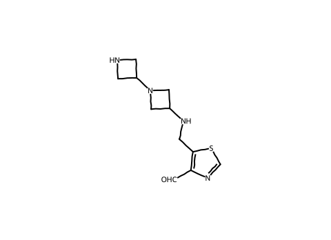 O=Cc1ncsc1CNC1CN(C2CNC2)C1